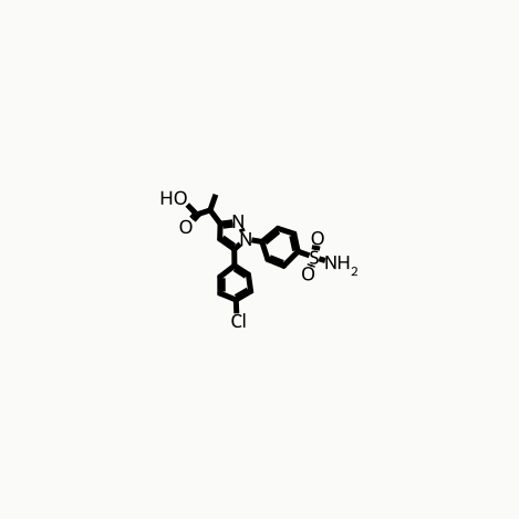 CC(C(=O)O)c1cc(-c2ccc(Cl)cc2)n(-c2ccc(S(N)(=O)=O)cc2)n1